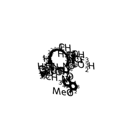 COc1cccc2c(O[C@@H]3C[C@H]4C(=O)N[C@]5(C(=O)NS(=O)(=O)C6(C)CC6)C[C@H]5C=CCC[C@@H](C)C[C@@H](C)[C@H](N(C(=O)O)C(C)(C)C(F)(F)F)C(=O)N4C3)nccc12